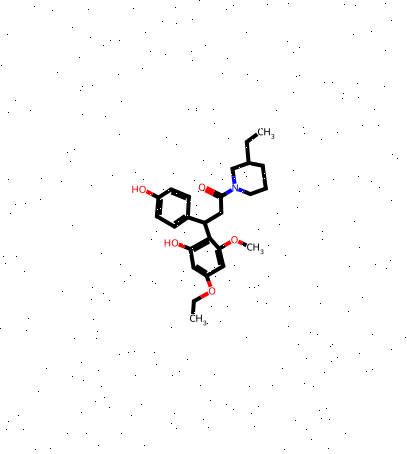 CCOc1cc(O)c(C(CC(=O)N2CCCC(CC)C2)c2ccc(O)cc2)c(OC)c1